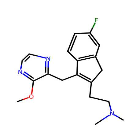 COc1nccnc1CC1=C(CCN(C)C)Cc2cc(F)ccc21